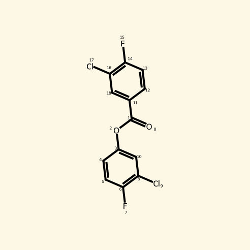 O=C(Oc1ccc(F)c(Cl)c1)c1ccc(F)c(Cl)c1